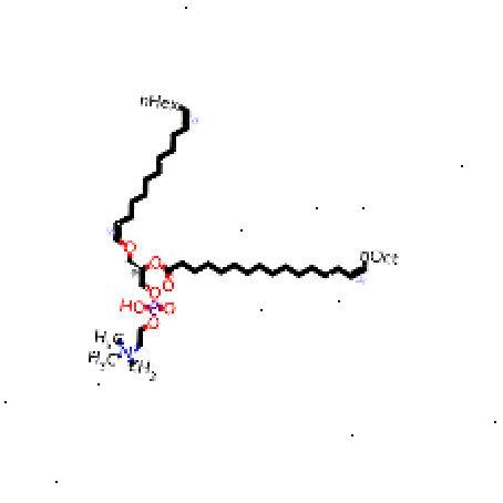 CCCCCC/C=C\CCCCCCCC/C=C\OC[C@H](COP(=O)(O)OCC[N+](C)(C)C)OC(=O)CCCCCCCCCCCCC/C=C\CCCCCCCC